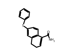 NC(=O)C1=CCCc2cc(Sc3ccccc3)ccc21